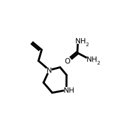 C=CCN1CCNCC1.NC(N)=O